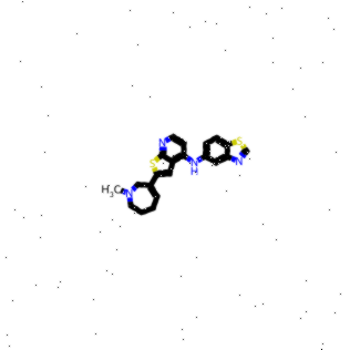 CN1CCCC=C(c2cc3c(Nc4ccc5scnc5c4)ccnc3s2)C1